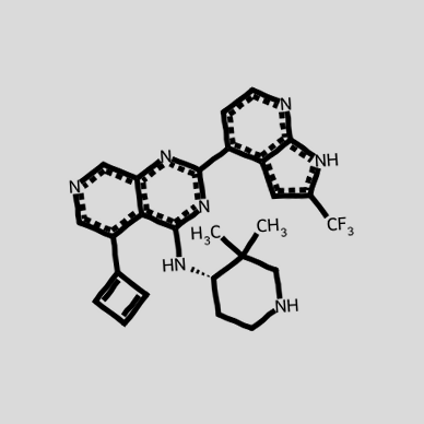 CC1(C)CNCC[C@@H]1Nc1nc(-c2ccnc3[nH]c(C(F)(F)F)cc23)nc2cncc(C3=CC=C3)c12